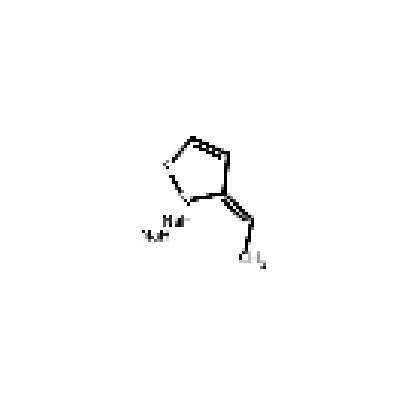 CC=C1C=CSS1.[NaH].[NaH]